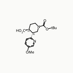 COc1ccc([C@H]2CN(C(=O)OC(C)(C)C)CC[C@@H]2C(=O)O)nc1